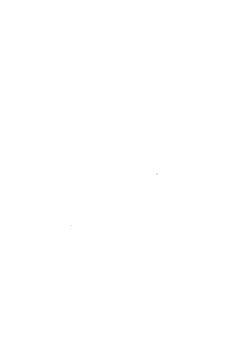 CC(=O)c1cc2ncccc2s1